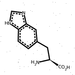 N[C@@H](Cc1ccc2[nH]cnc2c1)C(=O)O